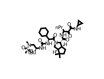 CCCC(NC(=O)[C@@H]1[C@H]2CCC(C)(C)[C@H]2CN1C(=O)[C@@H](NC(=O)N[C@H](CN(C)S(C)(=O)=O)C(C)(C)C)C1CCCCC1)C(=O)C(=O)NC1CC1